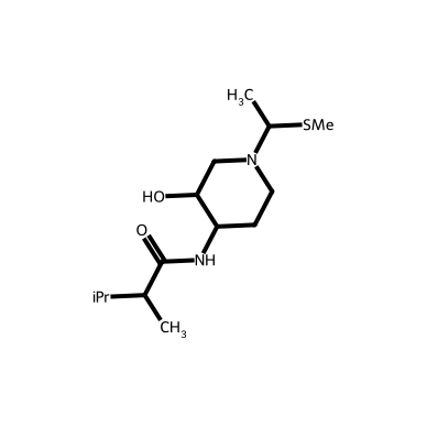 CSC(C)N1CCC(NC(=O)C(C)C(C)C)C(O)C1